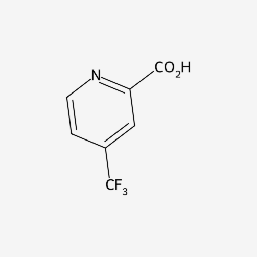 O=C(O)c1cc(C(F)(F)F)ccn1